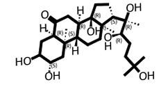 CC(C)(O)CC[C@@H](O)[C@](C)(O)[C@H]1CC[C@@]2(O)[C@@H]3CC(=O)[C@@H]4CC(O)[C@@H](O)C[C@]4(C)[C@H]3CC[C@]12C